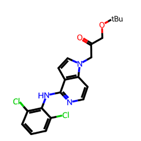 CC(C)(C)OCC(=O)Cn1ccc2c(Nc3c(Cl)cccc3Cl)nccc21